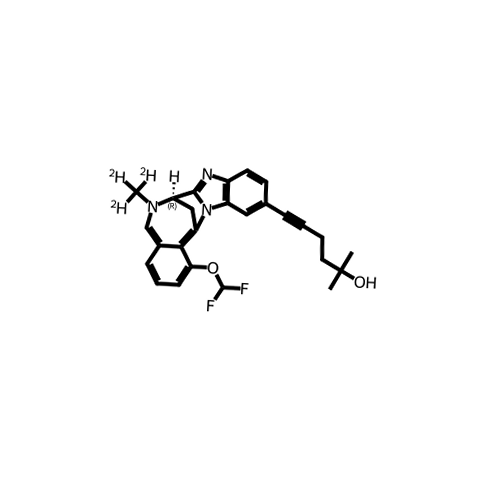 [2H]C([2H])([2H])N1C=c2cccc(OC(F)F)c2=C2C[C@@H]1c1nc3ccc(C#CCCC(C)(C)O)cc3n12